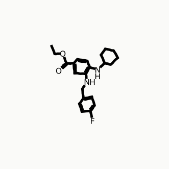 CCOC(=O)c1ccc(NC2CCCCC2)c(NCc2ccc(F)cc2)c1